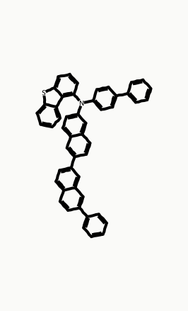 c1ccc(-c2ccc(N(c3ccc4cc(-c5ccc6ccc(-c7ccccc7)cc6c5)ccc4c3)c3cccc4sc5ccccc5c34)cc2)cc1